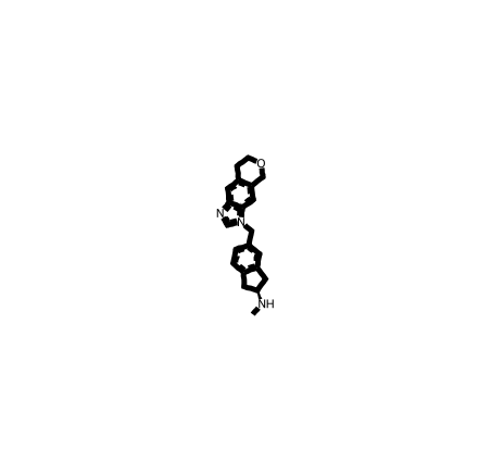 CN[C@H]1Cc2ccc(Cn3cnc4cc5c(cc43)COCC5)cc2C1